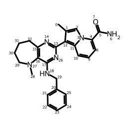 Cc1cn2c(C(N)=O)cccc2c1-c1nc2c(c(NCc3ccccc3)n1)N(C)CCCC2